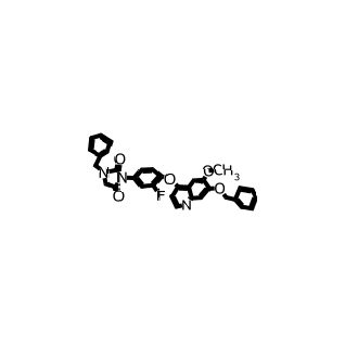 COc1cc2c(Oc3ccc(N4C(=O)CN(Cc5ccccc5)C4=O)cc3F)ccnc2cc1OCc1ccccc1